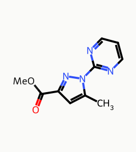 COC(=O)c1cc(C)n(-c2ncccn2)n1